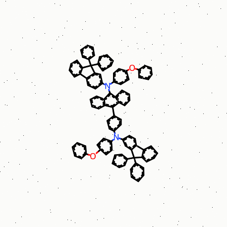 c1ccc(Oc2ccc(N(c3ccc(-c4c5ccccc5c(N(c5ccc(Oc6ccccc6)cc5)c5ccc6c(c5)C(c5ccccc5)(c5ccccc5)c5ccccc5-6)c5ccccc45)cc3)c3ccc4c(c3)C(c3ccccc3)(c3ccccc3)c3ccccc3-4)cc2)cc1